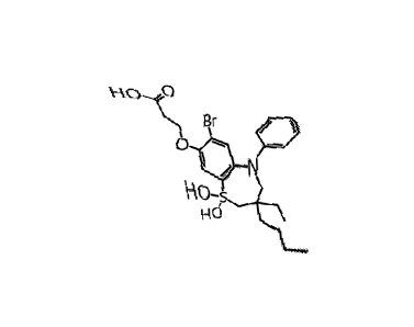 CCCCC1(CC)CN(c2ccccc2)c2cc(Br)c(OCCC(=O)O)cc2S(O)(O)C1